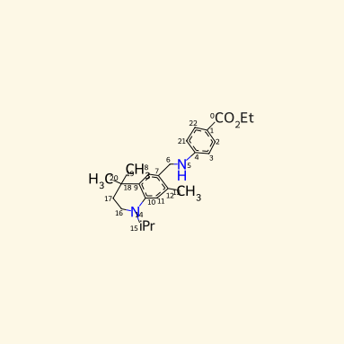 CCOC(=O)c1ccc(NCc2cc3c(cc2C)N(C(C)C)CCC3(C)C)cc1